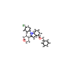 Fc1ccc(-n2c(C3CCOCC3)cc3c(OCc4ccccc4)cccc32)cc1